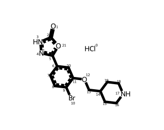 Cl.O=c1[nH]nc(-c2ccc(Br)c(OCC3CCNCC3)c2)o1